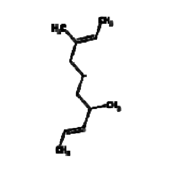 CC=CC(C)C[CH]CC(C)=CC